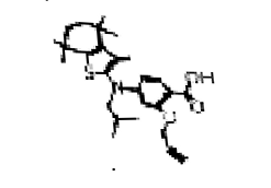 C#CCOc1cc(N(CC(C)C)c2sc3c(c2C)C(C)(C)CCC3(C)C)ccc1C(=O)O